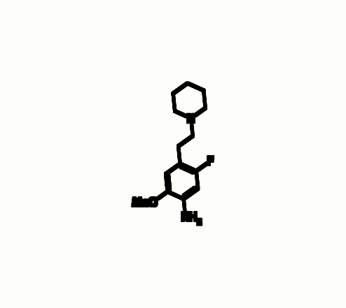 COc1cc(CCN2CCCCC2)c(F)cc1N